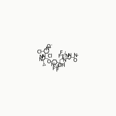 CC(n1nc(C(=O)N(C)C)cc1N1CCC(O)(c2ccc(OCc3c(C4CC4)nnn3-c3c(Cl)c[n+]([O-])cc3Cl)nc2C(F)(F)F)CC1)C(F)(F)F